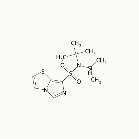 C[SiH](C)N(C(C)(C)C)S(=O)(=O)c1ncn2ccsc12